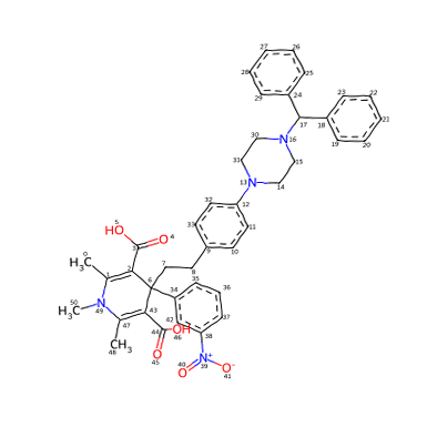 CC1=C(C(=O)O)C(CCc2ccc(N3CCN(C(c4ccccc4)c4ccccc4)CC3)cc2)(c2cccc([N+](=O)[O-])c2)C(C(=O)O)=C(C)N1C